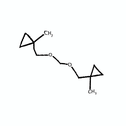 CC1(COCOCC2(C)CC2)CC1